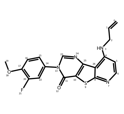 C=CCNc1ccnc2sc3c(=O)n(-c4ccc(OC)c(F)c4)cnc3c12